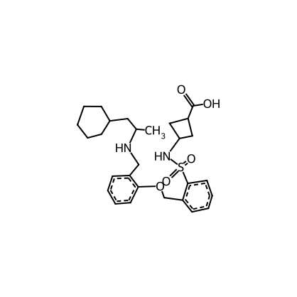 CC(CC1CCCCC1)NCc1ccccc1OCc1ccccc1S(=O)(=O)NC1CC(C(=O)O)C1